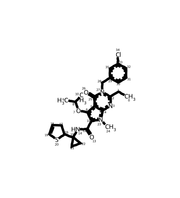 CCc1nc2c(c(OC(C)C)c(C(=O)NC3(C4CC=CS4)CC3)n2C)c(=O)n1Cc1cccc(Cl)c1